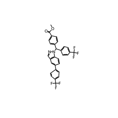 COC(=O)c1ccc(C(c2ccc(C(F)(F)F)cc2)n2ncc3cc(-c4ccc(C(F)(F)F)cc4)ccc32)cc1